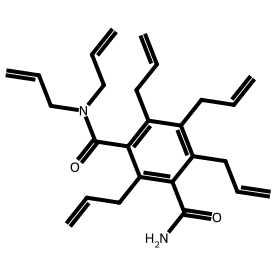 C=CCc1c(CC=C)c(C(N)=O)c(CC=C)c(C(=O)N(CC=C)CC=C)c1CC=C